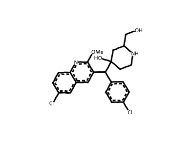 COc1nc2ccc(Cl)cc2cc1C(c1ccc(Cl)cc1)C1(O)CCNC(CO)C1